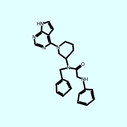 O=C(CNc1ccccc1)N(Cc1ccccc1)C1CCCN(c2ncnc3[nH]ccc23)C1